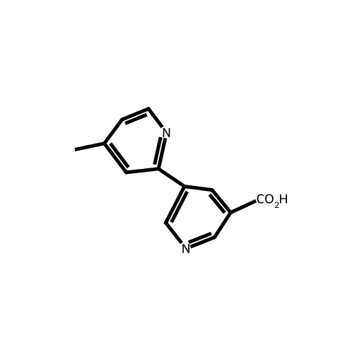 Cc1ccnc(-c2cncc(C(=O)O)c2)c1